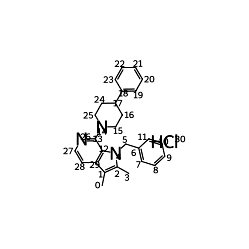 Cc1c(C)n(Cc2ccccc2)c2c(N3CCC(c4ccccc4)CC3)nccc12.Cl